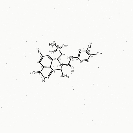 CC(c1c[nH]c(=O)c2cc(F)ccc12)N(CCS(N)(=O)=O)C(=O)Nc1ccc(F)c(Cl)c1